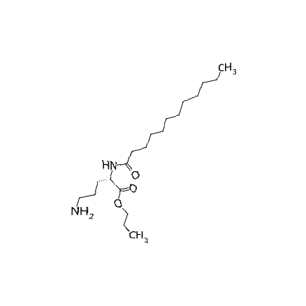 CCCCCCCCCCCC(=O)N[C@@H](CCCN)C(=O)OCCC